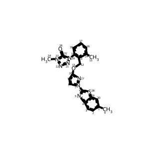 Cc1ccc2nc(-n3ccc(OCc4c(C)cccc4-n4nnn(C)c4=O)n3)sc2c1